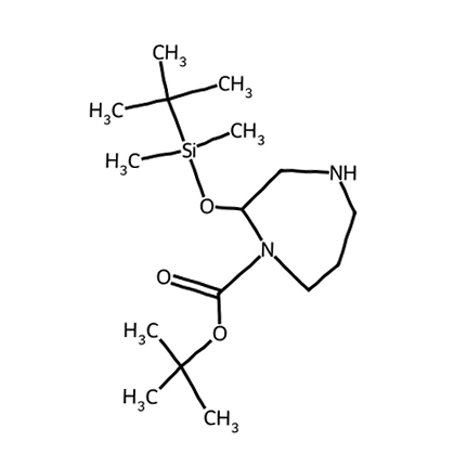 CC(C)(C)OC(=O)N1CCCNCC1O[Si](C)(C)C(C)(C)C